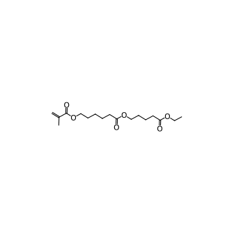 C=C(C)C(=O)OCCCCCC(=O)OCCCCC(=O)OCC